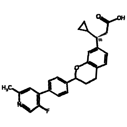 Cc1cc(-c2ccc(C3CCc4ccc([C@@H](CC(=O)O)C5CC5)cc4O3)cc2)c(F)cn1